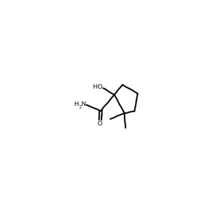 CC1(C)CCCC1(O)C(N)=O